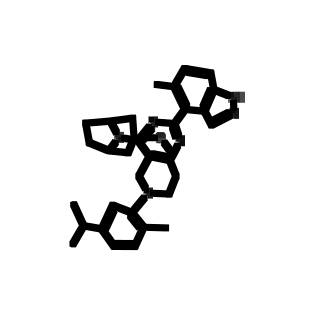 COC1CC2CCC(C1)N2c1nc(-c2c(C)ccc3[nH]ncc23)nc2c1CN(c1cc(C(C)C)ccc1C)CC2